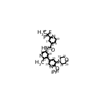 Cc1ncc(NC(=O)c2ccnc(C(C)(F)F)c2)cc1-c1cnc(OC(C)C)c(N2CCOCC2)c1